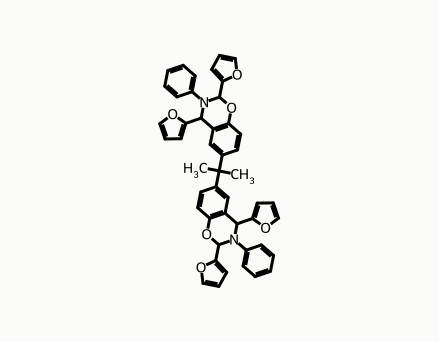 CC(C)(c1ccc2c(c1)C(c1ccco1)N(c1ccccc1)C(c1ccco1)O2)c1ccc2c(c1)C(c1ccco1)N(c1ccccc1)C(c1ccco1)O2